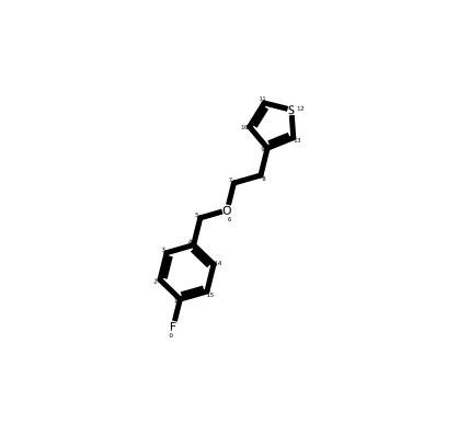 Fc1ccc(COCCc2ccsc2)cc1